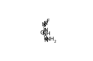 Nc1nccc2cc(CNC(=O)c3cncc(Cc4ccc(N5CCC(F)C5)nc4)c3)ccc12